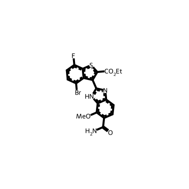 CCOC(=O)c1sc2c(F)ccc(Br)c2c1-c1nc2ccc(C(N)=O)c(OC)c2[nH]1